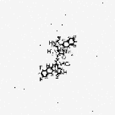 Cl.NC(=O)C(CCCC(N)(N)c1c[nH]c(=S)n1C1CCc2c(F)cc(F)cc2C1)C(N)(N)c1c[nH]c(=S)n1C1CCc2c(F)cc(F)cc2C1